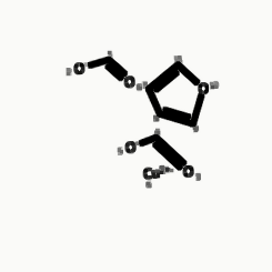 O=C[O-].O=C[O-].[Cu+2].c1ccoc1